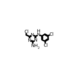 Nc1nc(CCl)nc(Nc2cc(Cl)cc(Cl)c2)n1